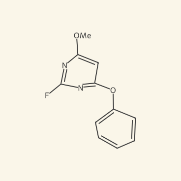 COc1cc(Oc2ccccc2)nc(F)n1